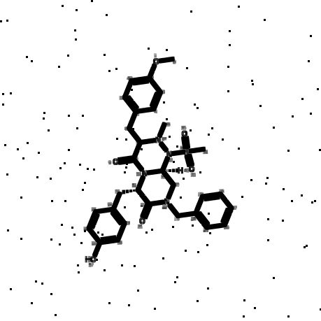 COc1ccc(CC2C(=O)N3[C@@H](Cc4ccc(O)cc4)C(=O)N(Cc4ccccc4)C[C@@H]3N(S(C)(=O)=O)N2C)cc1